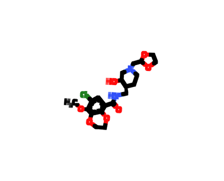 COc1c(Cl)cc(C(=O)NC[C@@H]2CCN(CC3OCCO3)CC2O)c2c1OCCO2